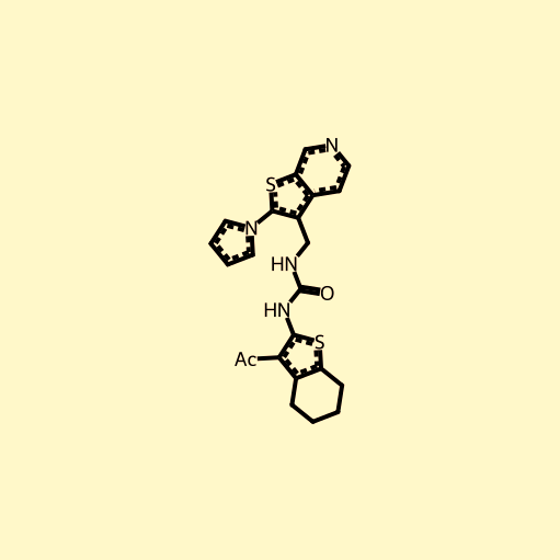 CC(=O)c1c(NC(=O)NCc2c(-n3cccc3)sc3cnccc23)sc2c1CCCC2